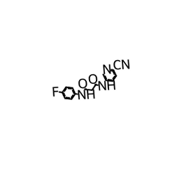 N#Cc1ccc(NC(=O)CC(=O)Nc2ccc(F)cc2)cn1